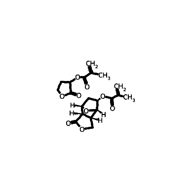 C=C(C)C(=O)OC1CCOC1=O.C=C(C)C(=O)O[C@@H]1C[C@@H]2O[C@H]1[C@@H]1COC(=O)[C@@H]12